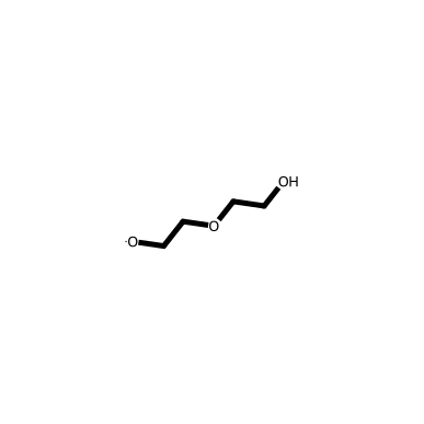 [O]CCOCCO